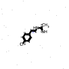 CC(=N)N/C=C/c1ccc(Cl)cc1